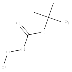 CCCC(C)(C)OC(=O)NOCC